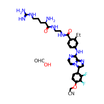 CCc1cc(Nc2nccn3c(-c4ccc(OCC#N)c(F)c4F)cnc23)ccc1C(=O)NCCNC(=O)[C@H](N)CCCNC(=N)N.O=CO